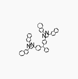 C1=Cc2ccc(-c3cc(C4=CC=C(C(c5ccccc5)c5ccc(-c6cc(-c7ccc8ccccc8c7)nc(-c7ccc8c(c7)C=CCCC8)n6)cc5)C=CC4)nc(-c4ccc5ccccc5c4)n3)cc2C=CC1